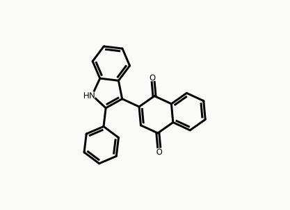 O=C1C=C(c2c(-c3ccccc3)[nH]c3ccccc23)C(=O)c2ccccc21